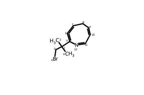 CC(C)(CBr)C1=C=CC/C=C\C=N/1